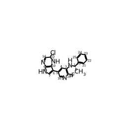 C[C@H](Nc1cc(-c2c[nH]c3c2NC(Cl)C=N3)cnc1F)c1ccccc1